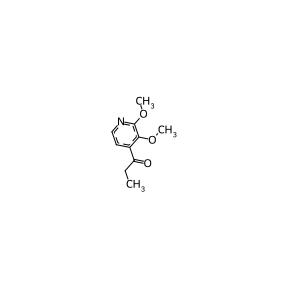 CCC(=O)c1ccnc(OC)c1OC